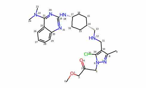 COCC(=O)Cn1nc(C)c(CNC[C@H]2CC[C@@H](Nc3nc(N(C)C)c4ccccc4n3)CC2)c1Cl